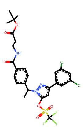 CC(c1ccc(C(=O)NCCC(=O)OC(C)(C)C)cc1)n1nc(-c2cc(Cl)cc(Cl)c2)cc1OS(=O)(=O)C(F)(F)F